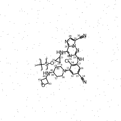 CC(C)(C)[Si](C)(C)O[C@@H]1CN(c2cc(C#N)cc(Nc3nc(NC4CC4)c4ncc(C#N)n4n3)c2Cl)CC[C@H]1NC1COC1